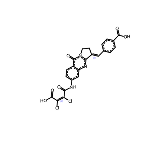 O=C(O)/C(Cl)=C(/Cl)C(=O)Nc1ccc2c(=O)n3c(nc2c1)/C(=C/c1ccc(C(=O)O)cc1)CC3